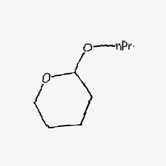 CC[CH]OC1CCCCO1